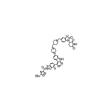 Cc1c([C@@H](C)NC(=O)c2noc(C(C)(C)C)n2)ccc(-c2ncnc3[nH]c4cc(N5CCN(CC6CCN(Cc7ccc8c(c7)C(C)(C)C(=O)N8C7CCC(=O)NC7=O)CC6)CC5)ccc4c23)c1F